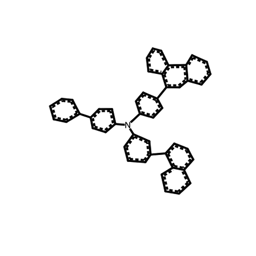 c1ccc(-c2ccc(N(c3ccc(-c4cc5ccccc5c5ccccc45)cc3)c3cccc(-c4cccc5ccccc45)c3)cc2)cc1